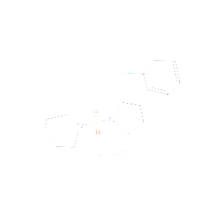 CC(=O)OC[C@H]1C[C@@H](c2ccccc2F)CN1S(=O)(=O)N1CCOCC1